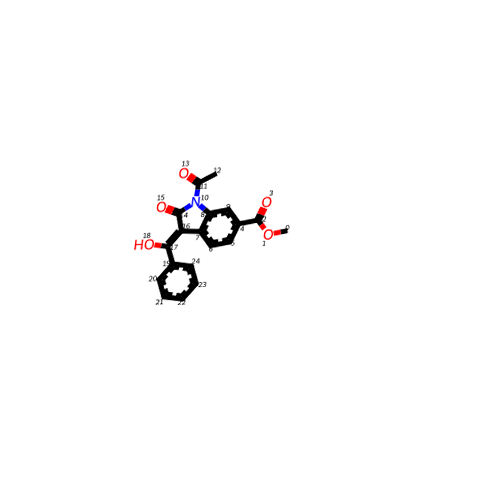 COC(=O)c1ccc2c(c1)N(C(C)=O)C(=O)/C2=C(\O)c1ccccc1